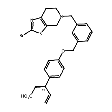 C=C[C@@H](CC(=O)O)c1ccc(OCc2cccc(CN3CCc4nc(Br)sc4C3)c2)cc1